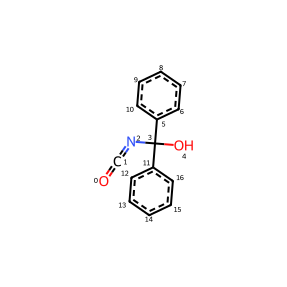 O=C=NC(O)(c1ccccc1)c1ccccc1